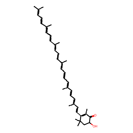 CC(C)=C/C=C/C(C)=C/C=C/C(C)=C/C=C/C(C)=C/C=C/C=C(C)/C=C/C=C(C)/C=C/C1=C(C)C(=O)C(O)CC1(C)C